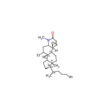 CCC1CC2N(C)C(=O)CC[C@]2(C)[C@H]2CC[C@]3(C)[C@@H]([C@H](C)CCCC(C)C)CC[C@H]3[C@H]12